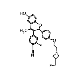 CC1=C(c2ccc(C#N)c(F)c2)C(c2ccc(OCCN3CC(CF)C3)cc2)Oc2ccc(O)cc21